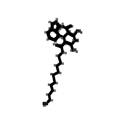 COC(=O)C1=C(C)NC(C)=C(C(=O)OCCCCCCCCCCO)[C@H]1c1cccc2nonc12